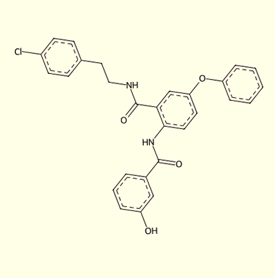 O=C(Nc1ccc(Oc2ccccc2)cc1C(=O)NCCc1ccc(Cl)cc1)c1cccc(O)c1